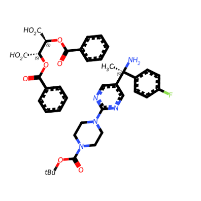 CC(C)(C)OC(=O)N1CCN(c2ncc([C@@](C)(N)c3ccc(F)cc3)cn2)CC1.O=C(O[C@H](C(=O)O)[C@H](OC(=O)c1ccccc1)C(=O)O)c1ccccc1